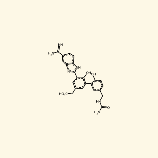 N=C(N)c1ccc2[nH]c(-c3cc(CC(=O)O)cc(-c4cc(CNC(N)=O)ccc4O)c3O)nc2c1